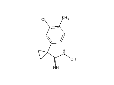 Cc1ccc(C2(C(=N)NO)CC2)cc1Cl